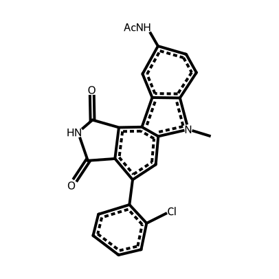 CC(=O)Nc1ccc2c(c1)c1c3c(c(-c4ccccc4Cl)cc1n2C)C(=O)NC3=O